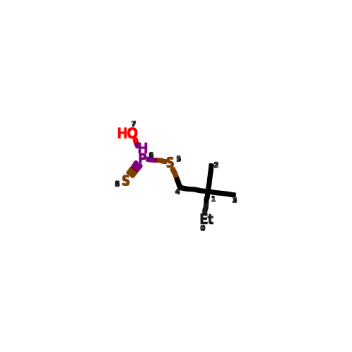 CCC(C)(C)CS[PH](O)=S